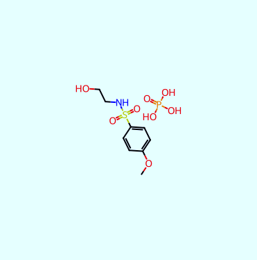 COc1ccc(S(=O)(=O)NCCO)cc1.O=P(O)(O)O